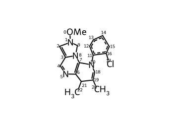 CON1C=C2C=NC3=C(N2C1)N(c1ccccc1Cl)C=C(C)C3C